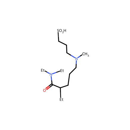 CCC(CCCN(C)CCCS(=O)(=O)O)C(=O)N(CC)CC